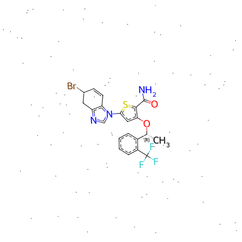 C[C@@H](Oc1cc(-n2cnc3c2C=CC(Br)C3)sc1C(N)=O)c1ccccc1C(F)(F)F